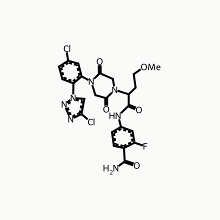 COCCC(C(=O)Nc1ccc(C(N)=O)c(F)c1)N1CC(=O)N(c2cc(Cl)ccc2-n2cc(Cl)nn2)CC1=O